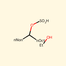 CCCCCCCCCC(CCCCCCCC)OS(=O)(=O)O.CCO